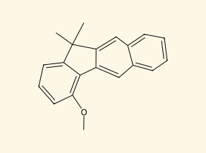 COc1cccc2c1-c1cc3ccccc3cc1C2(C)C